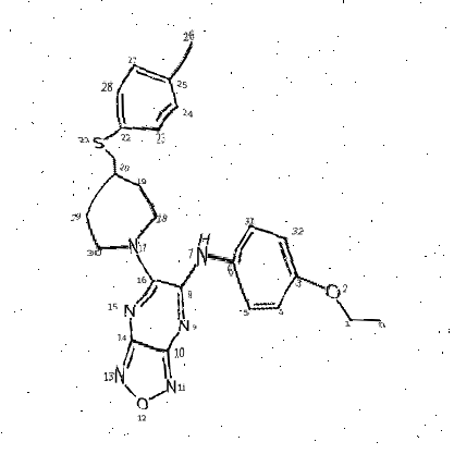 CCOc1ccc(Nc2nc3nonc3nc2N2CCC(Sc3ccc(C)cc3)CC2)cc1